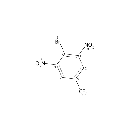 O=[N+]([O-])c1cc(C(F)(F)F)cc([N+](=O)[O-])c1Br